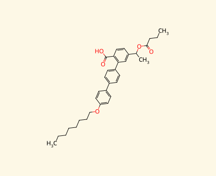 CCCCCCCCOc1ccc(-c2ccc(-c3cc(C(C)OC(=O)CCC)ccc3C(=O)O)cc2)cc1